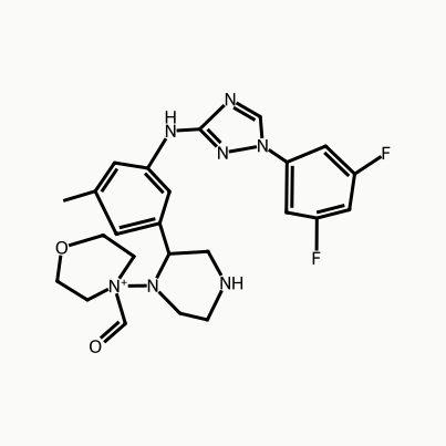 Cc1cc(Nc2ncn(-c3cc(F)cc(F)c3)n2)cc(C2CNCCN2[N+]2(C=O)CCOCC2)c1